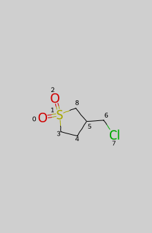 O=S1(=O)CCC(CCl)C1